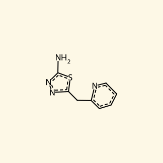 Nc1nnc(Cc2ccccn2)s1